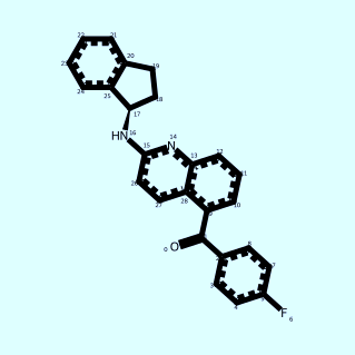 O=C(c1ccc(F)cc1)c1cccc2nc(N[C@@H]3CCc4ccccc43)ccc12